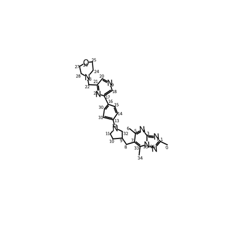 Cc1nc2nc(C)c(CC3CCN(c4ccc(-c5cncc(CN6CCOCC6)n5)cc4)C3)c(C)n2n1